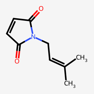 CC(C)=CCN1C(=O)C=CC1=O